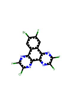 Fc1cc2c(cc1Br)c1nc(F)c(Cl)nc1c1nc(F)c(F)nc21